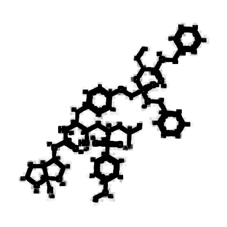 CC[C@@H](OP(=O)(COc1ccc(C[C@H](NC(=O)O[C@H]2CO[C@H]3OCCC32)[C@H](O)CN(CC(C)C)S(=O)(=O)c2ccc(OC)cc2)cc1)OCc1ccccc1)C(=O)OCc1ccccc1